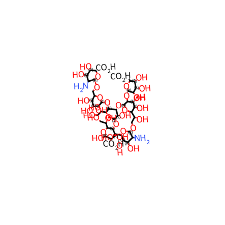 NC1[C@H](OCC(O)C2O[C@H](OC3[C@@H](O[C@@H]4OC(CO[C@@H]5OC(C(=O)O)[C@H](O)[C@H](O)C5N)[C@@H](O)[C@H](O)C4O)C(C(O)CO)O[C@H](O[C@@H]4C(C(O)CO)O[C@@](O)(C(=O)O)C[C@H]4O)[C@H]3O)C(O[C@@H]3OC(C(=O)O)[C@@H](O)[C@H](O)C3O)[C@@H](O)[C@@H]2O)OC(CO)[C@@H](O)[C@@H]1O